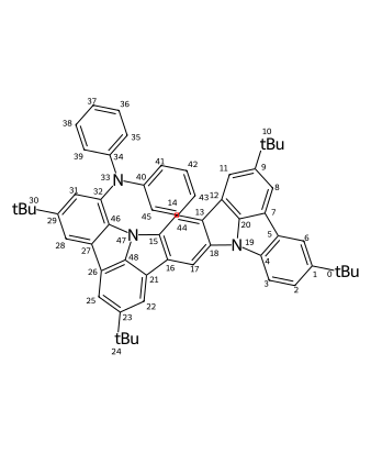 CC(C)(C)c1ccc2c(c1)c1cc(C(C)(C)C)cc3c4cc5c(cc4n2c13)c1cc(C(C)(C)C)cc2c3cc(C(C)(C)C)cc(N(c4ccccc4)c4ccccc4)c3n5c12